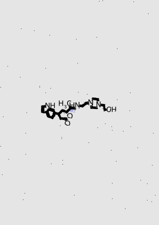 C/C(=C\NCCN1CCN(CCO)CC1)C(=O)CC(CC=O)c1ccc2cc[nH]c2c1